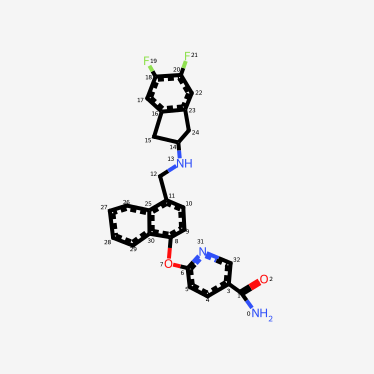 NC(=O)c1ccc(Oc2ccc(CNC3Cc4cc(F)c(F)cc4C3)c3ccccc23)nc1